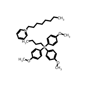 CCCCCCCC[n+]1ccccc1.CCCC[B-](c1ccc(OC)cc1)(c1ccc(OC)cc1)c1ccc(OC)cc1